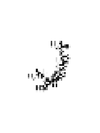 C[C@@H](N)CCCN1C[C@H](CO)C[C@H]1c1cc2cn(-c3ccc([C@@H]4CCC[C@@H](CCSC(=N)N)N4)cc3)c(=O)nc2[nH]1